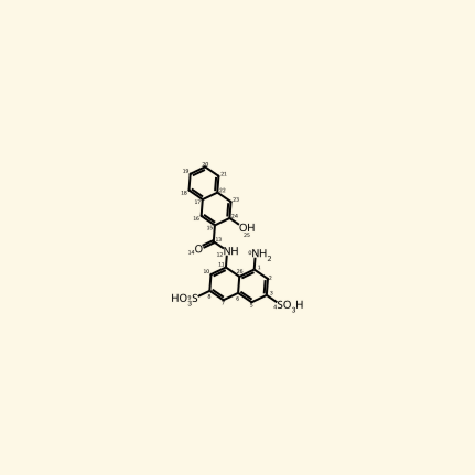 Nc1cc(S(=O)(=O)O)cc2cc(S(=O)(=O)O)cc(NC(=O)c3cc4ccccc4cc3O)c12